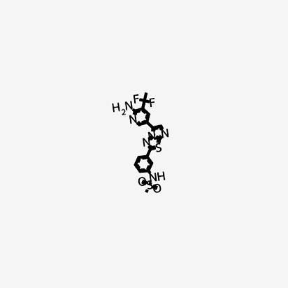 CC(F)(F)c1cc(-c2cnc3sc(-c4cccc(NS(C)(=O)=O)c4)nn23)cnc1N